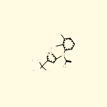 CC(C)(C)c1cc(N(C(N)=O)c2cccc(Cl)c2Cl)[nH]n1